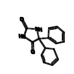 O=C1NC(=O)C(c2ccccc2)(C2C=CC=CC2)N1